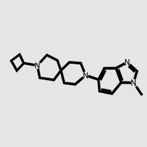 Cn1cnc2cc(N3CCC4(CC3)CCN(C3CCC3)CC4)ccc21